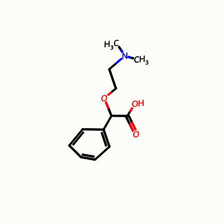 CN(C)CCOC(C(=O)O)c1ccccc1